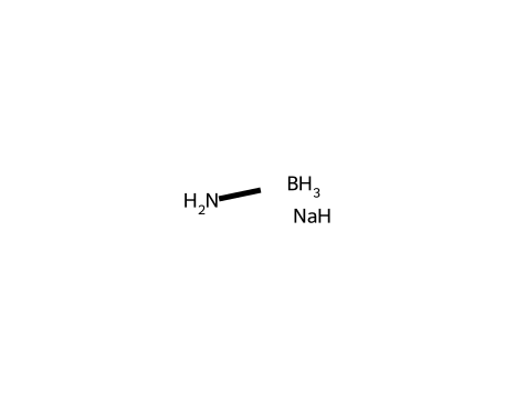 B.CN.[NaH]